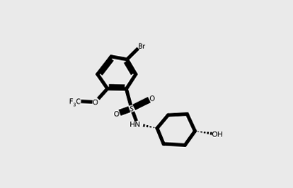 O=S(=O)(N[C@H]1CC[C@@H](O)CC1)c1cc(Br)ccc1OC(F)(F)F